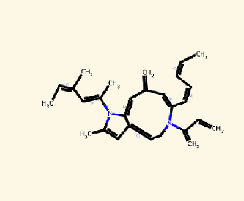 C=CC(=C)N1C/C=c2/cc(C)n(/C(C)=C/C(C)=C\C)/c2=C/C(=C)/C=C1/C=C\C=C/C